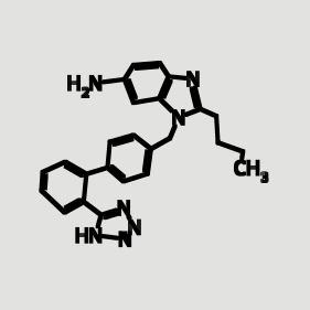 CCCCc1nc2ccc(N)cc2n1Cc1ccc(-c2ccccc2-c2nnn[nH]2)cc1